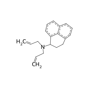 C=CCN(CC=C)C1CCc2cccc3cccc1c23